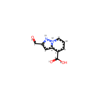 O=Cc1cc2c(C(=O)O)cccn2n1